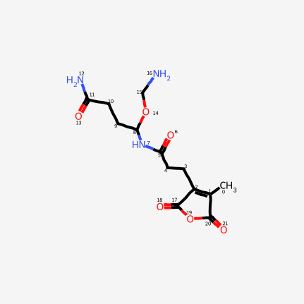 CC1=C(CCC(=O)NC(CCC(N)=O)OCN)C(=O)OC1=O